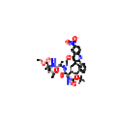 C=C[C@H]1C[C@]1(NC(=O)[C@@H]1CC(Oc2cc(-c3ccccc3)nc3ccc([N+](=O)[O-])cc23)CN1C(=O)[C@@H](NC(=O)OC(C)(C)C)C1CCCCC1)C(=O)OCC